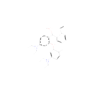 C=CC1C=CC=CC1C(OC)c1ccc(N(CC)CC)cc1OC1C=C(N(CC)CC)C=CC1C